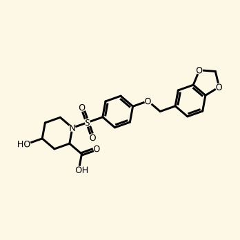 O=C(O)C1CC(O)CCN1S(=O)(=O)c1ccc(OCc2ccc3c(c2)OCO3)cc1